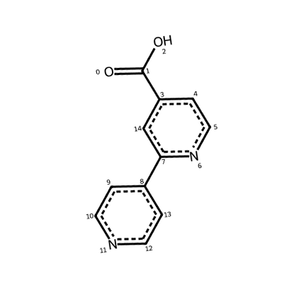 O=C(O)c1ccnc(-c2ccncc2)c1